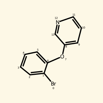 Brc1cc[c]cc1Oc1cccnc1